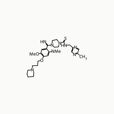 CNc1cc(OCCCN2CCCCC2)c(OC)cc1C(=N)N1CCN(C(=S)NCc2cnc(C)cn2)CC1